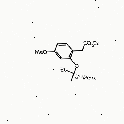 CCCC(C)[C@](C)(CC)Oc1cc(OC)ccc1CC(=O)OCC